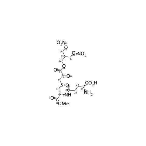 COC(=O)[C@H](CSCC(=O)C(=O)OCC(CO[N+](=O)[O-])CO[N+](=O)[O-])NC(=O)CC[C@H](N)C(=O)O